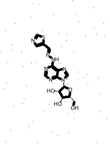 OC[C@H]1O[C@@H](n2cnc3c(N/N=C/c4cncs4)ncnc32)[C@@H](O)[C@H]1O